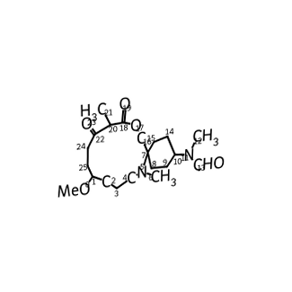 COC1CCCN(C)C2(CCC(N(C)C=O)CC2)COC(=O)C(C)C(=O)CC1